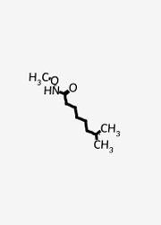 CONC(=O)CCCCC[C](C)C